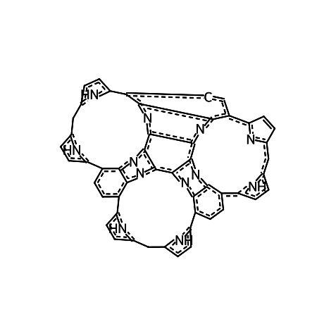 C1=Cc2nc1cc1ccc([nH]1)c1ccc3c4nc5c6nc7c(ccc8c7nc6c6nc7c(ccc2c7nc6c5nc41)-c1ccc([nH]1)Cc1ccc-8[nH]1)-c1ccc([nH]1)Cc1ccc-3[nH]1